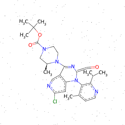 Cc1ccnc(C(C)C)c1N1C(=C=O)N=C(N2CCN(C(=O)OC(C)(C)C)C[C@@H]2C)c2cnc(Cl)cc21